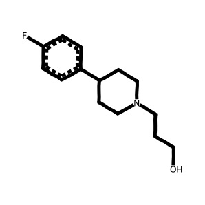 OCCCN1CCC(c2ccc(F)cc2)CC1